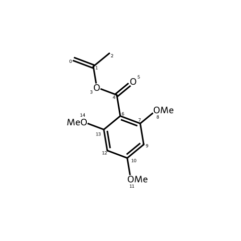 C=C(C)OC(=O)c1c(OC)cc(OC)cc1OC